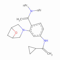 C=C(Nc1ccc(C(=C)N(CCC)CCC)c(N2CC3CC(C2)O3)c1)C1CC1